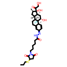 CCCSC1CC(=O)N(CCCCCC(=O)N/N=C2/C=C[C@@]3(C)C(=C2)CC[C@H]2[C@@H]4C[C@@H](C)[C@](O)(C(=O)CO)[C@@]4(C)C[C@H](O)[C@@]23F)C1=O